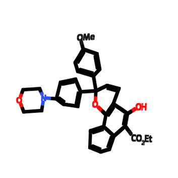 CCOC(=O)c1c(O)c2c(c3ccccc13)OC(c1ccc(OC)cc1)(c1ccc(N3CCOCC3)cc1)C=C2